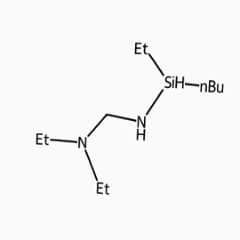 CCCC[SiH](CC)NCN(CC)CC